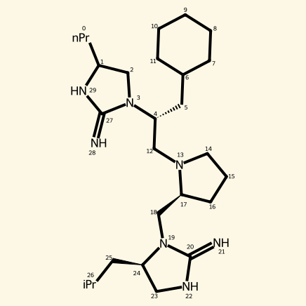 CCCC1CN([C@H](CC2CCCCC2)CN2CCC[C@H]2CN2C(=N)NC[C@H]2CC(C)C)C(=N)N1